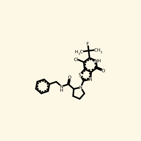 CC(C)(F)c1[nH]c(=O)c2nc(N3CCCC3C(=O)NCc3ccccc3)sc2c1Cl